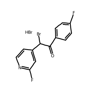 Br.O=C(c1ccc(F)cc1)C(Br)c1ccnc(F)c1